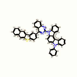 c1ccc(-n2c3ccccc3c3c4c5ccccc5n(-c5nc(-c6ccc7sc8cc9ccccc9cc8c7c6)c6ccccc6n5)c4ccc32)cc1